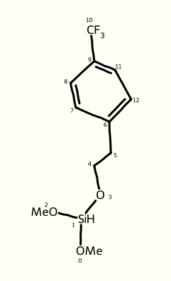 CO[SiH](OC)OCCc1ccc(C(F)(F)F)cc1